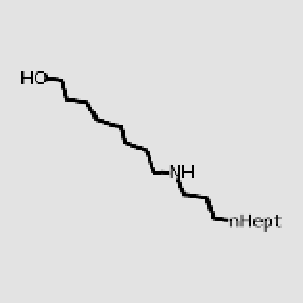 CCCCCCCCCCNCCCCCCCCO